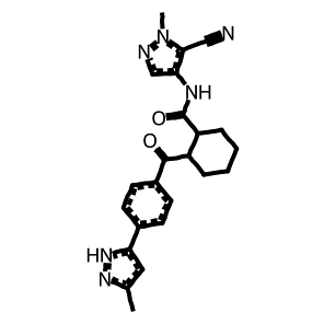 Cc1cc(-c2ccc(C(=O)C3CCCCC3C(=O)Nc3cnn(C)c3C#N)cc2)[nH]n1